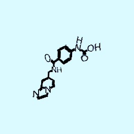 O=C(O)Nc1ccc(C(=O)NCc2ccn3ccnc3c2)cc1